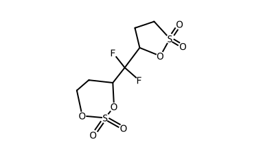 O=S1(=O)CCC(C(F)(F)C2CCOS(=O)(=O)O2)O1